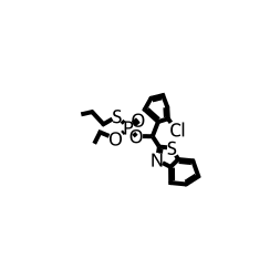 CCCSP(=O)(OCC)OC(c1nc2ccccc2s1)c1ccccc1Cl